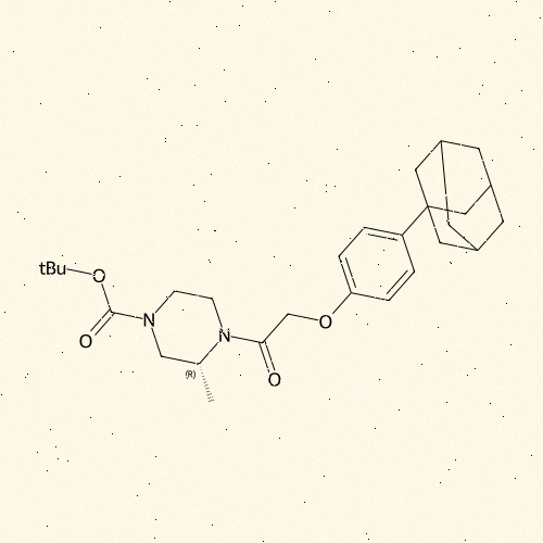 C[C@@H]1CN(C(=O)OC(C)(C)C)CCN1C(=O)COc1ccc(C23CC4CC(CC(C4)C2)C3)cc1